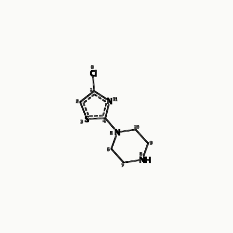 Clc1csc(N2CCNCC2)n1